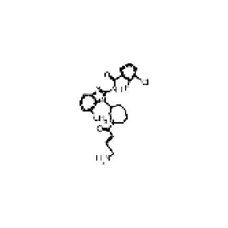 Cc1cccc2nc(NC(=O)c3cccc(Cl)c3F)n(C3CCCCN(C(=O)/C=C/CN)C3)c12